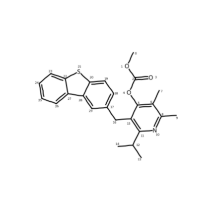 COC(=O)Oc1c(C)c(C)nc(C(C)C)c1Cc1ccc2sc3ccccc3c2c1